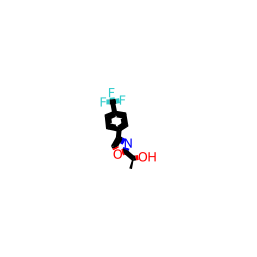 C[C@H](O)c1nc(-c2ccc(C(F)(F)F)cc2)co1